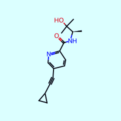 C[C@@H](NC(=O)c1ccc(C#CC2CC2)cn1)C(C)(C)O